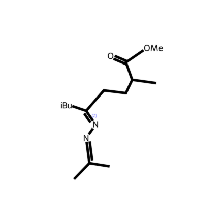 CCC(C)/C(CCC(C)C(=O)OC)=N\N=C(C)C